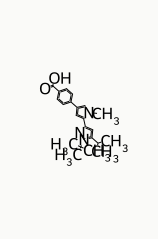 CC(C)c1cc(-c2cc(-c3ccc(C(=O)O)cc3)cn2C)nn1C(C)(C)C